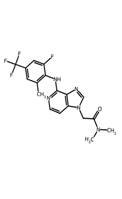 Cc1cc(C(F)(F)F)cc(F)c1Nc1nccc2c1ncn2CC(=O)N(C)C